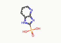 O=P(O)(O)c1nc2ncccc2[nH]1